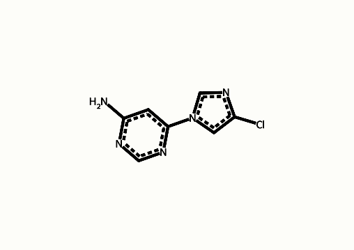 Nc1cc(-n2cnc(Cl)c2)ncn1